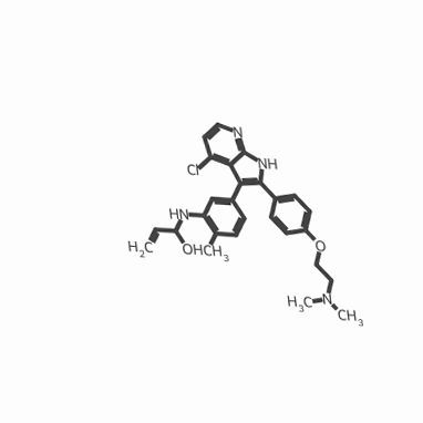 C=CC(O)Nc1cc(-c2c(-c3ccc(OCCN(C)C)cc3)[nH]c3nccc(Cl)c23)ccc1C